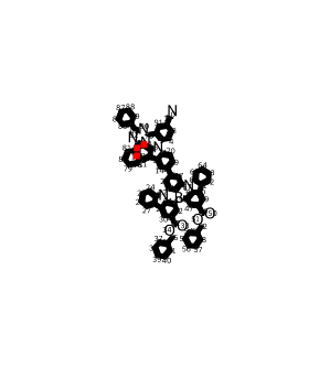 N#Cc1ccc(-n2c3ccccc3c3cc(-c4cc5c6c(c4)-n4c7ccccc7c7cc(C(=O)OCc8ccccc8)cc(c74)B6c4cc(C(=O)OCc6ccccc6)cc6c7ccccc7n-5c46)ccc32)c(-c2nc(-c3ccccc3)nc(-c3ccccc3)n2)c1